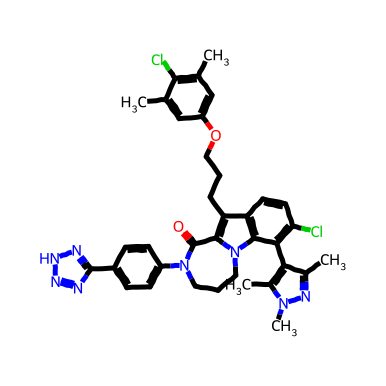 Cc1cc(OCCCc2c3n(c4c(-c5c(C)nn(C)c5C)c(Cl)ccc24)CCCN(c2ccc(-c4nn[nH]n4)cc2)C3=O)cc(C)c1Cl